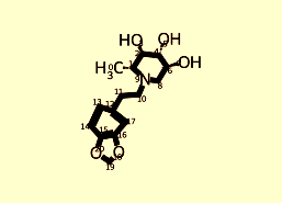 C[C@@H]1[C@@H](O)[C@H](O)[C@@H](O)CN1CCc1ccc2c(c1)OCO2